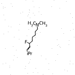 CC(C)C=CC(F)CCCCCN(C)C